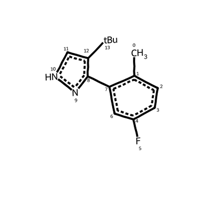 Cc1ccc(F)cc1-c1n[nH]cc1C(C)(C)C